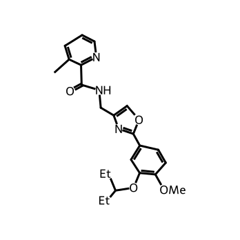 CCC(CC)Oc1cc(-c2nc(CNC(=O)c3ncccc3C)co2)ccc1OC